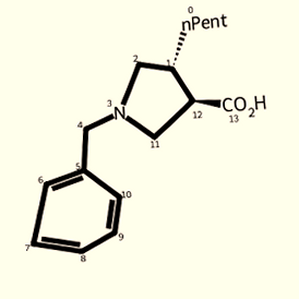 CCCCC[C@H]1CN(Cc2ccccc2)C[C@@H]1C(=O)O